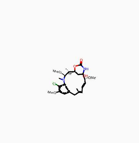 COc1cc2cc(c1Cl)N(C)[C@@H](OC)[C@H](C)[C@@H]1C[C@@](O)(NC(=O)O1)[C@H](OC)/C=C/C=C(\C)C2